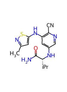 Cc1cc(Nc2cc(N[C@@H](C(N)=O)C(C)C)cnc2C#N)sn1